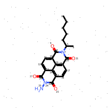 CCCCCC(C)N1C(=O)c2ccc3c4c(ccc(c24)C1=O)C(=O)N(N)C3=O